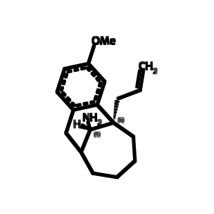 C=CC[C@@]12CCCCC(Cc3ccc(OC)cc31)[C@@H]2N